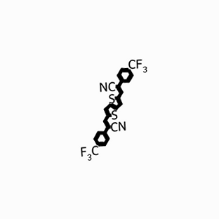 N#C/C(=C\c1cc2sc(/C=C(\C#N)c3ccc(C(F)(F)F)cc3)cc2s1)c1ccc(C(F)(F)F)cc1